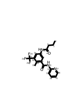 CCCC(=O)Nc1cc(C(=O)Nc2ccccn2)c(C)c(C(F)(F)F)c1